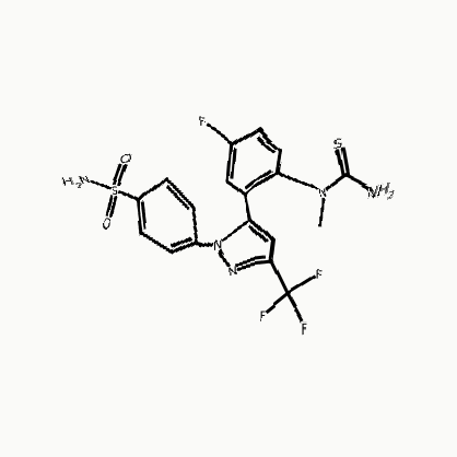 CN(C(N)=S)c1ccc(F)cc1-c1cc(C(F)(F)F)nn1-c1ccc(S(N)(=O)=O)cc1